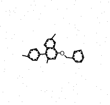 Cc1ccc(-c2c(C)cc(OCc3ccccc3)c3cc(C)ccc23)cc1